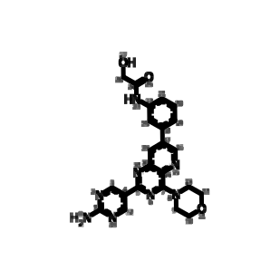 Nc1ncc(-c2nc(N3CCOCC3)c3ncc(-c4cccc(NC(=O)CO)c4)cc3n2)cn1